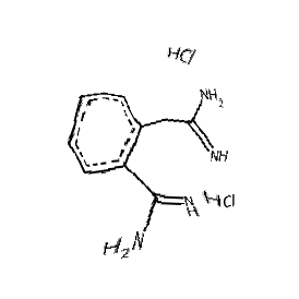 Cl.Cl.N=C(N)c1ccccc1C(=N)N